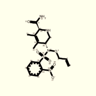 C=CCON([C@H]1CN[C@H](C(N)=O)C(C)=C1C)S(=O)(=O)c1ccccc1[N+](=O)[O-]